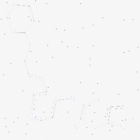 N#Cc1cnc2sc(CCc3ccccc3)cc2c1Nc1ccc2[nH]ccc2c1